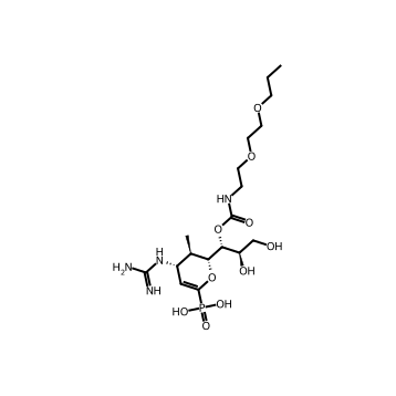 CCCOCCOCCNC(=O)O[C@@H]([C@@H]1OC(P(=O)(O)O)=C[C@H](NC(=N)N)[C@H]1C)[C@H](O)CO